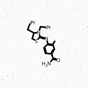 Cc1cc(C(N)=O)ccc1/N=C1\SCC(CC(C)C)N1CC(C)C